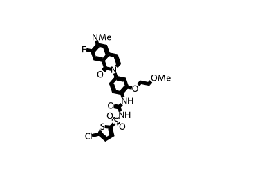 CNc1cc2ccn(-c3ccc(NC(=O)NS(=O)(=O)c4ccc(Cl)s4)c(OCCOC)c3)c(=O)c2cc1F